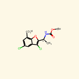 C[C@H](NC(=O)OC(C)(C)C)c1oc2c(C(=O)O)cc(Cl)cc2c1Cl